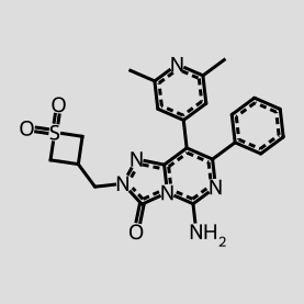 Cc1cc(-c2c(-c3ccccc3)nc(N)n3c(=O)n(CC4CS(=O)(=O)C4)nc23)cc(C)n1